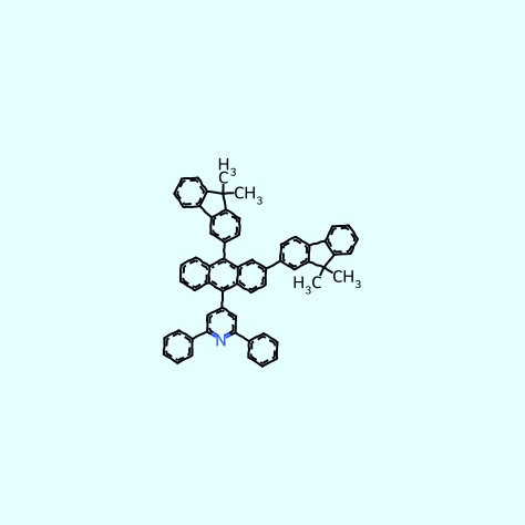 CC1(C)c2ccccc2-c2cc(-c3c4ccccc4c(-c4cc(-c5ccccc5)nc(-c5ccccc5)c4)c4ccc(-c5ccc6c(c5)C(C)(C)c5ccccc5-6)cc34)ccc21